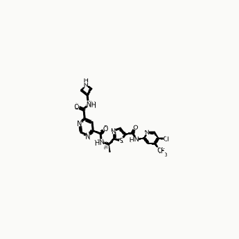 C[C@@H](NC(=O)c1cc(C(=O)NC2CNC2)ncn1)c1ncc(C(=O)Nc2cc(C(F)(F)F)c(Cl)cn2)s1